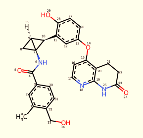 Cc1cc(C(=O)N[C@@]23C[C@H]2[C@H]3c2cc(Oc3ccnc4c3CCC(=O)N4)ccc2O)ccc1CO